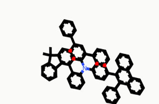 CC1(C)c2ccccc2-c2c(-c3ccccc3N(c3ccc(-c4c(-c5ccccc5)c5ccccc5c5ccccc45)cc3)c3ccc(-c4ccccc4)cc3-c3ccccc3)cccc21